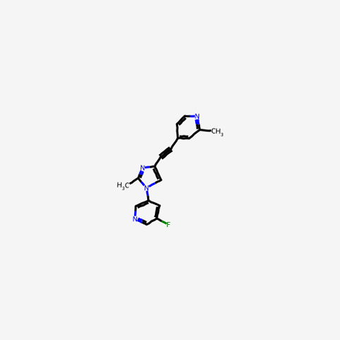 Cc1cc(C#Cc2cn(-c3cncc(F)c3)c(C)n2)ccn1